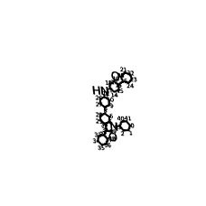 c1ccc(-n2c3cc(-c4ccc(Nc5ccc6c(c5)oc5ccccc56)cc4)ccc3c3c4ccccc4oc32)cc1